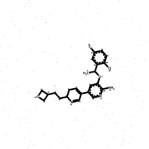 CC(Oc1cc(C2=CCC(CCC3COC3)N=C2)cnc1N)c1cc(F)ccc1Cl